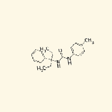 CCC(CC)(NC(=O)Nc1ccc(C)cc1)c1ccccc1